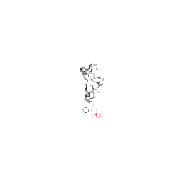 COC(=O)CCCC1(c2ccccc2)C2c3cc4c5c6c7c8c9c%10c%11c%12c%13c%14c(c%15c3c5c8c%15c%13%10)C21CC%14C=C%12CC1C[C@@H]2C[C@H](C=C6C4)C7C=9C2C=%111